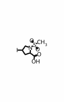 CS(=O)(=O)N1CC(I)CC1C(=O)O